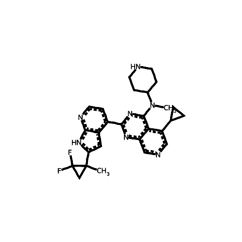 CN(c1nc(-c2ccnc3[nH]c(C4(C)CC4(F)F)cc23)nc2cncc(C3CC3)c12)C1CCNCC1